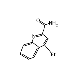 CCc1cc(C(N)=O)nc2ccccc12